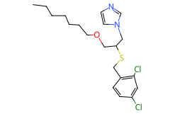 CCCCCCCOCC(Cn1ccnc1)SCc1ccc(Cl)cc1Cl